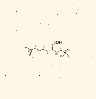 CN(C)CCCC[C@H](CO)CCC(C)(C)C